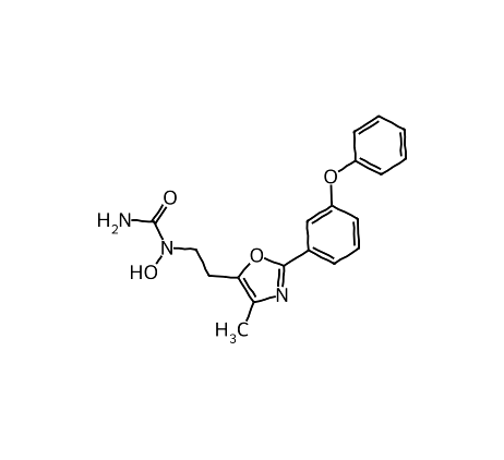 Cc1nc(-c2cccc(Oc3ccccc3)c2)oc1CCN(O)C(N)=O